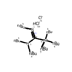 CCCC/N=C(\N(CCCC)CCCC)[N+](CCCC)(CCCC)CCCC.Cl.[Cl-]